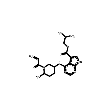 C=CC(=O)N1CC(Nc2ncnc3[nH]cc(C(=O)OCC(C)C)c23)CCC1C